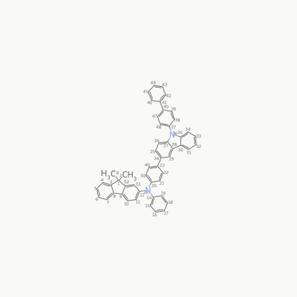 CC1(C)c2ccccc2-c2ccc(N(c3ccccc3)c3ccc(-c4ccc5c(c4)c4ccccc4n5-c4ccc(-c5ccccc5)cc4)cc3)cc21